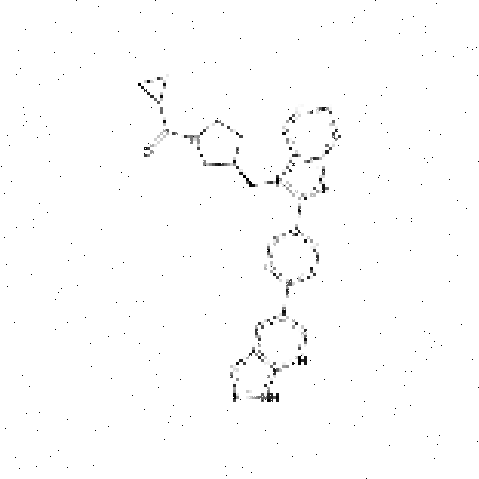 O=C(C1CC1)N1CC[C@@H](Cn2c(-c3ccc(-c4cnc5[nH]ncc5c4)cc3)nc3cnccc32)C1